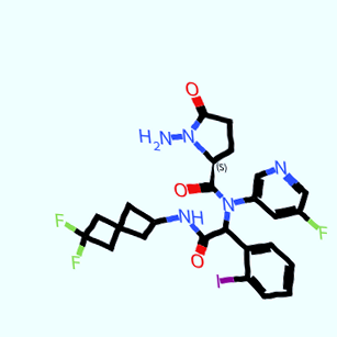 NN1C(=O)CC[C@H]1C(=O)N(c1cncc(F)c1)C(C(=O)NC1CC2(C1)CC(F)(F)C2)c1ccccc1I